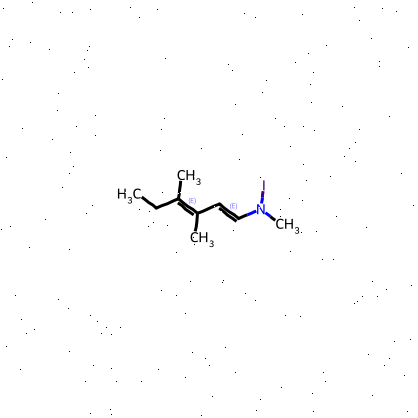 CC/C(C)=C(C)/C=C/N(C)I